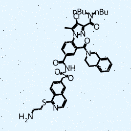 CCCCN(CCCC)C(=O)c1nn(-c2ccc(C(=O)NS(=O)(=O)c3ccc4c(SCCN)nccc4c3)cc2C(=O)N2CCc3ccccc3C2)c(C)c1Cl